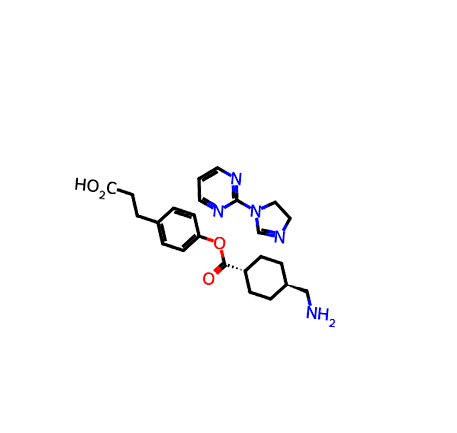 C1=NCCN1c1ncccn1.NC[C@H]1CC[C@H](C(=O)Oc2ccc(CCC(=O)O)cc2)CC1